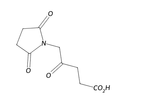 O=C(O)CCC(=O)CN1C(=O)CCC1=O